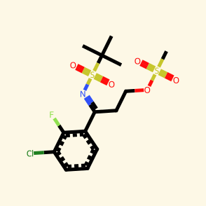 CC(C)(C)S(=O)(=O)N=C(CCOS(C)(=O)=O)c1cccc(Cl)c1F